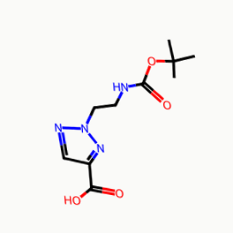 CC(C)(C)OC(=O)NCCn1ncc(C(=O)O)n1